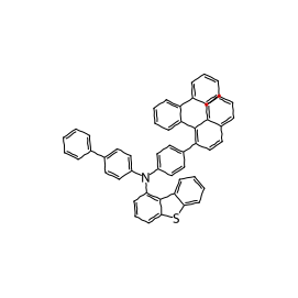 c1ccc(-c2ccc(N(c3ccc(-c4ccc5ccccc5c4-c4ccccc4-c4ccccc4)cc3)c3cccc4sc5ccccc5c34)cc2)cc1